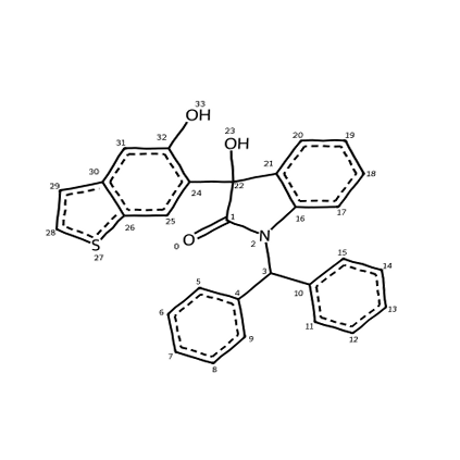 O=C1N(C(c2ccccc2)c2ccccc2)c2ccccc2C1(O)c1cc2sccc2cc1O